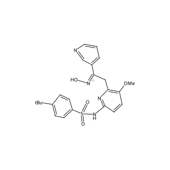 COc1ccc(NS(=O)(=O)c2ccc(C(C)(C)C)cc2)nc1C/C(=N/O)c1cccnc1